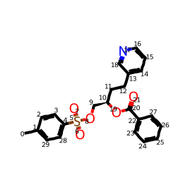 Cc1ccc(S(=O)(=O)OC[C@@H](CCc2cccnc2)OC(=O)c2ccccc2)cc1